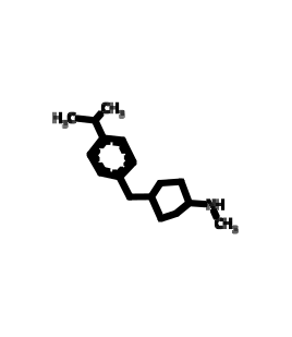 CNC1CCC(Cc2ccc(C(C)C)cc2)CC1